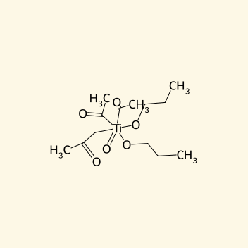 CCC[O][Ti](=[O])([CH2]C(C)=O)([O]CCC)([C](C)=O)[C](C)=O